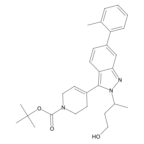 Cc1ccccc1-c1ccc2c(C3=CCN(C(=O)OC(C)(C)C)CC3)n(C(C)CCO)nc2c1